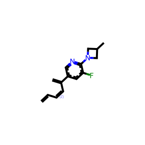 C=C/C=C\C(=C)c1cnc(N2CC(C)C2)c(F)c1